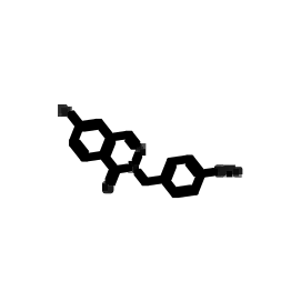 COc1ccc(Cn2ncc3cc(Br)ccc3c2=O)cc1